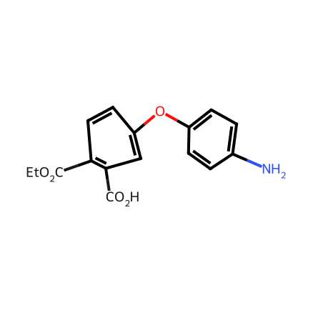 CCOC(=O)c1ccc(Oc2ccc(N)cc2)cc1C(=O)O